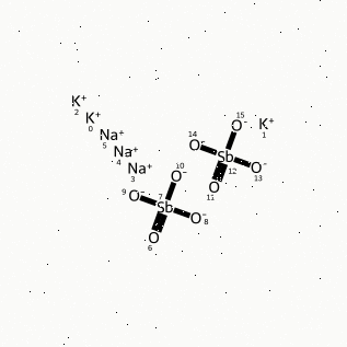 [K+].[K+].[K+].[Na+].[Na+].[Na+].[O]=[Sb]([O-])([O-])[O-].[O]=[Sb]([O-])([O-])[O-]